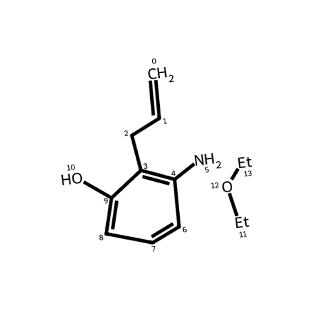 C=CCc1c(N)cccc1O.CCOCC